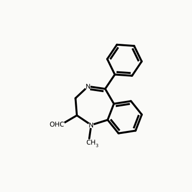 CN1c2ccccc2C(c2ccccc2)=NCC1C=O